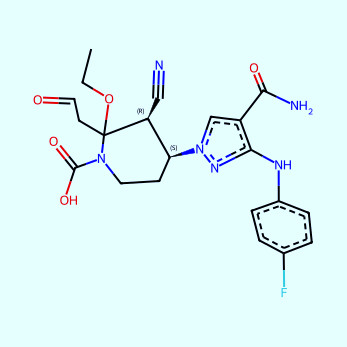 CCOC1(CC=O)[C@@H](C#N)[C@@H](n2cc(C(N)=O)c(Nc3ccc(F)cc3)n2)CCN1C(=O)O